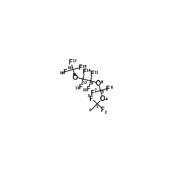 CC(F)(F)OC(F)(F)OC(F)(F)C(F)(F)OC(F)(F)F